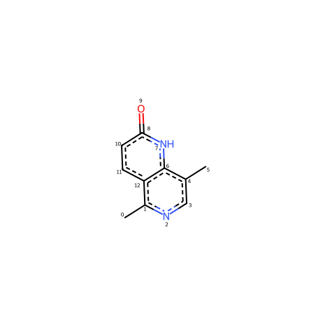 Cc1ncc(C)c2[nH]c(=O)ccc12